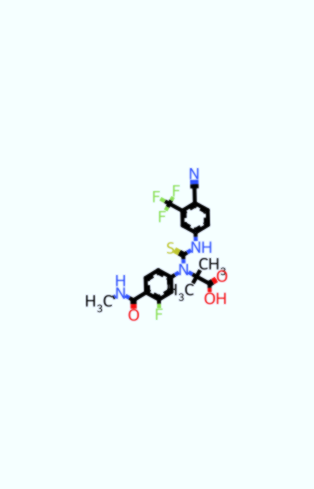 CNC(=O)c1ccc(N(C(=S)Nc2ccc(C#N)c(C(F)(F)F)c2)C(C)(C)C(=O)O)cc1F